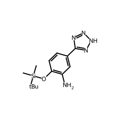 CC(C)(C)[Si](C)(C)Oc1ccc(-c2nn[nH]n2)cc1N